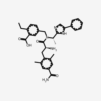 CCc1ccc(CN(C(=O)[C@@H](N)Cc2c(C)cc(C(N)=O)cc2C)[C@@H](C)c2ncc(-c3ccccc3)[nH]2)cc1C(=O)O